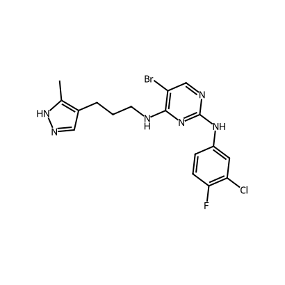 Cc1[nH]ncc1CCCNc1nc(Nc2ccc(F)c(Cl)c2)ncc1Br